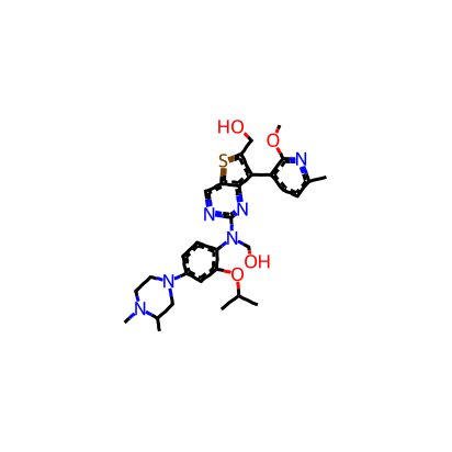 COc1nc(C)ccc1-c1c(CO)sc2cnc(N(CO)c3ccc(N4CCN(C)C(C)C4)cc3OC(C)C)nc12